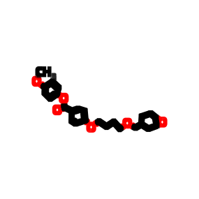 COc1ccc(OC(=O)c2ccc(OCCCCOCC3CCC4OC4C3)cc2)cc1